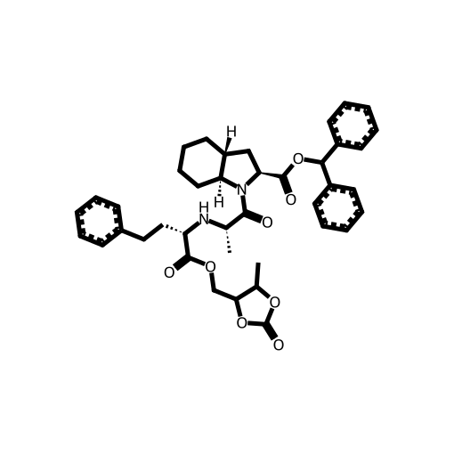 CC1OC(=O)OC1COC(=O)[C@H](CCc1ccccc1)N[C@@H](C)C(=O)N1[C@H](C(=O)OC(c2ccccc2)c2ccccc2)C[C@H]2CCCC[C@@H]21